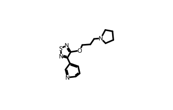 c1cncc(-c2nsnc2OCCCN2CCCC2)c1